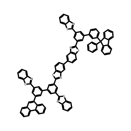 c1ccc(C2(c3cccc(-c4cc(-c5nc6ccccc6s5)cc(-c5nc6cc(-c7ccc8sc(-c9cc(-c%10cc(-c%11nc%12ccccc%12o%11)cc(-c%11cc%12ccccc%12c%12ccccc%11%12)c%10)cc(-c%10nc%11ccccc%11s%10)c9)nc8c7)ccc6s5)c4)c3)c3ccccc3-c3ccccc32)cc1